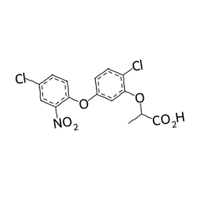 CC(Oc1cc(Oc2ccc(Cl)cc2[N+](=O)[O-])ccc1Cl)C(=O)O